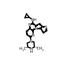 C[C@@H]1CN(c2ccc3nc(NC4CC4)c4cc5sccc5n4c3n2)C[C@H](C)N1